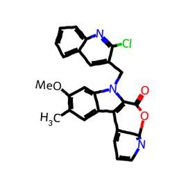 COc1cc2c(cc1C)c1c3cccnc3oc(=O)c1n2Cc1cc2ccccc2nc1Cl